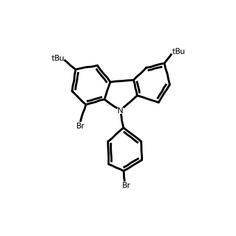 CC(C)(C)c1ccc2c(c1)c1cc(C(C)(C)C)cc(Br)c1n2-c1ccc(Br)cc1